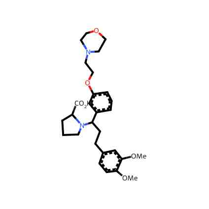 COc1ccc(CCC(c2cccc(OCCN3CCOCC3)c2)N2CCCC2C(=O)O)cc1OC